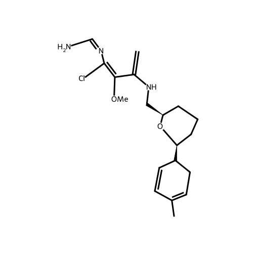 C=C(NC[C@H]1CCC[C@@H](C2C=CC(C)=CC2)O1)/C(OC)=C(Cl)\N=C/N